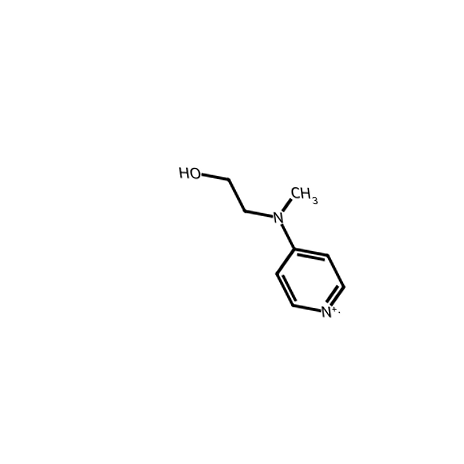 CN(CCO)C1=CC=[N+]C=C1